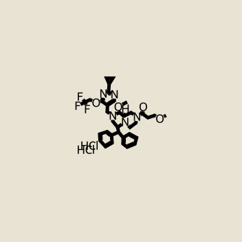 COCCC(=O)N1CCN2C(C(c3ccccc3)c3ccccc3)CN(Cc3c(OC)nc(C4CC4)nc3OCC(F)(F)F)C[C@@H]2C1.Cl.Cl